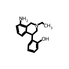 CCN1Cc2c(N)cccc2C(c2ccccc2O)C1